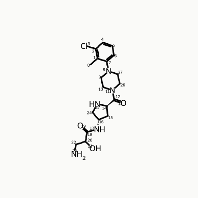 Cc1c(Cl)cccc1N1CCN(C(=O)[C@H]2C[C@H](NC(=O)C(O)CN)CN2)CC1